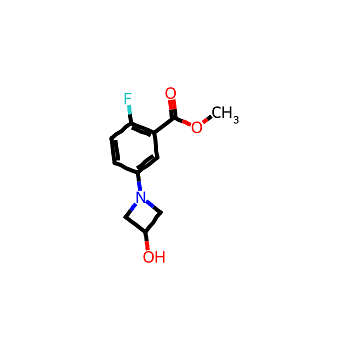 COC(=O)c1cc(N2CC(O)C2)ccc1F